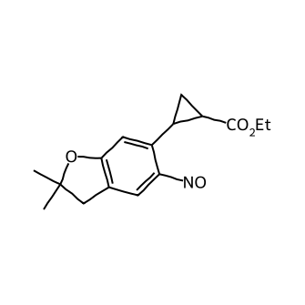 CCOC(=O)C1CC1c1cc2c(cc1N=O)CC(C)(C)O2